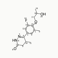 Cc1cc(C2=NNC(=O)CC2C)cc(F)c1OCC(C)O